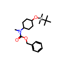 CN(C(=O)OCc1ccccc1)C1CCC(O[Si](C)(C)C(C)(C)C)CC1